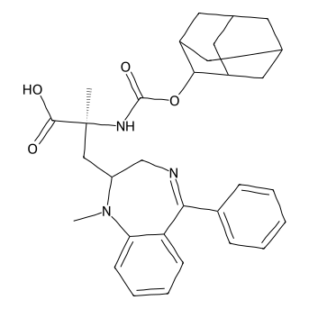 CN1c2ccccc2C(c2ccccc2)=NCC1C[C@](C)(NC(=O)OC1C2CC3CC(C2)CC1C3)C(=O)O